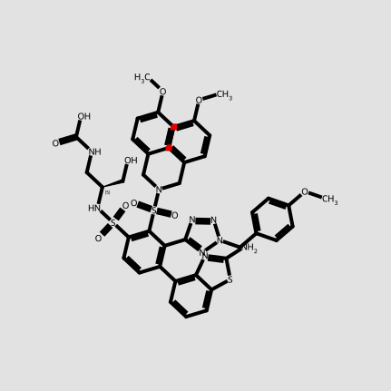 COc1ccc(CN(Cc2ccc(OC)cc2)S(=O)(=O)c2c(S(=O)(=O)N[C@H](CO)CNC(=O)O)ccc(-c3cccc4sc(N)nc34)c2-c2nnn(Cc3ccc(OC)cc3)n2)cc1